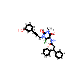 Cn1c(=O)c(NC(=O)CC(c2ccccc2)c2ccccc2)c(Cl)n(CC#Cc2cccc(O)c2)c1=O